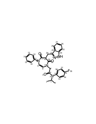 CC(C)N(C(=O)CN1C=CN(c2ccccc2)C(=O)C(Cc2n[nH]c3ccccc23)C1=O)c1ccc(F)cc1